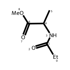 CCC(=O)NC(C)C(=O)OC